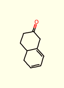 O=C1CCC2CC=CC=C2C1